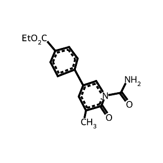 CCOC(=O)c1ccc(-c2cc(C)c(=O)n(C(N)=O)c2)cc1